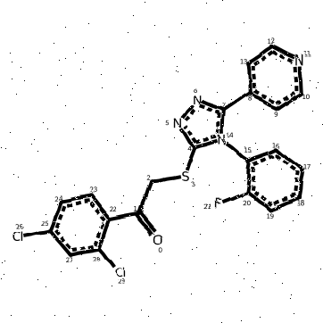 O=C(CSc1nnc(-c2ccncc2)n1-c1ccccc1F)c1ccc(Cl)cc1Cl